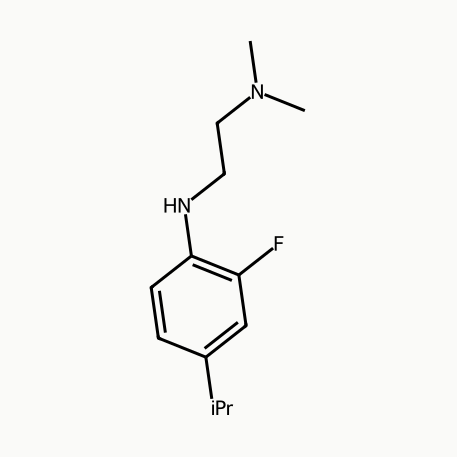 CC(C)c1ccc(NCCN(C)C)c(F)c1